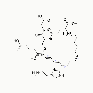 CCCCC/C=C\C\C=C/C=C/C=C/[C@@H](SCC(NC(=O)CCC(N)C(=O)O)C(=O)NCC(=O)O)[C@@H](O)CCCC(=O)O.NCCc1c[nH]cn1